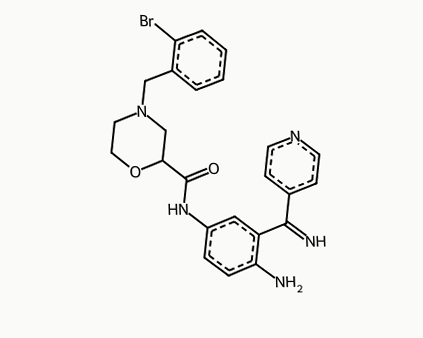 N=C(c1ccncc1)c1cc(NC(=O)C2CN(Cc3ccccc3Br)CCO2)ccc1N